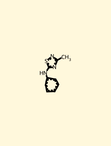 Cc1nsc(Nc2ccccc2)n1